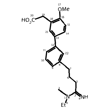 CCN(C)C(=N)CCCc1cccc(-c2ccc(OC)c(CC(=O)O)c2)c1